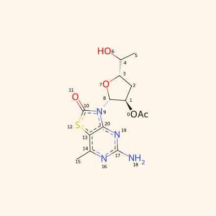 CC(=O)O[C@@H]1C[C@@H](C(C)O)O[C@H]1n1c(=O)sc2c(C)nc(N)nc21